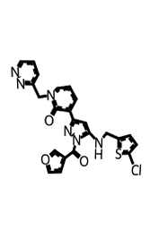 O=C(c1ccoc1)n1nc(-c2cccn(Cc3cccnn3)c2=O)cc1NCc1ccc(Cl)s1